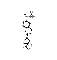 CN1CCC[C@@]12CC[C@@H](N1CCc3cc(C(=O)NO)cnc3C1)C2